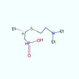 CC[C@@H](C[PH](=O)O)SCCN(CC)CC